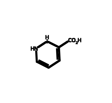 O=C(O)C1=CC=CN[IH]1